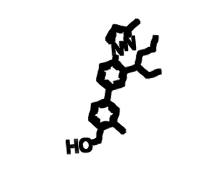 CCCC(CC)c1cc(-c2ccc(CO)c(C)c2)ccc1-n1ccc(C)n1